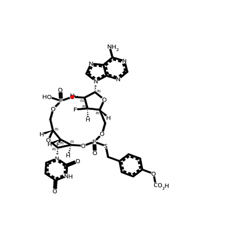 Nc1ncnc2c1ncn2[C@@H]1O[C@@H]2COP(=O)(SCc3ccc(OC(=O)O)cc3)O[C@@H]3[C@H](F)[C@@H](COP(=O)(O)O[C@@H]1[C@@H]2F)O[C@H]3n1ccc(=O)[nH]c1=O